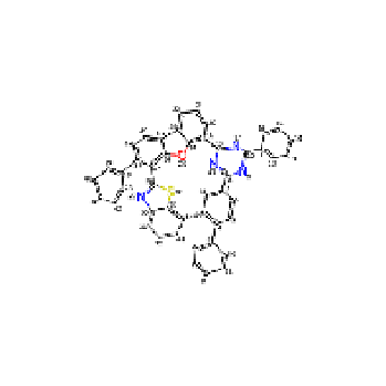 c1ccc(-c2ccc(-c3nc(-c4ccccc4)nc(-c4cccc5c4oc4c(-c6nc7ccccc7s6)c(-c6ccccc6)ccc45)n3)cc2)cc1